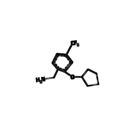 NCc1ccc(C(F)(F)F)cc1OC1CCCC1